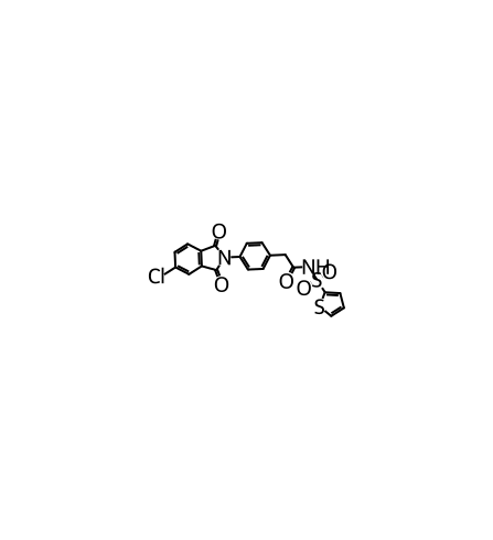 O=C(Cc1ccc(N2C(=O)c3ccc(Cl)cc3C2=O)cc1)NS(=O)(=O)c1cccs1